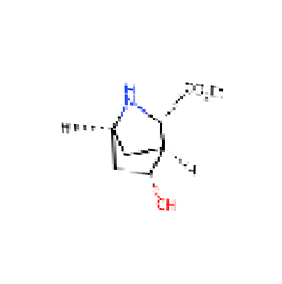 CCOC(=O)[C@H]1N[C@H]2C[C@@H]1[C@H](O)C2